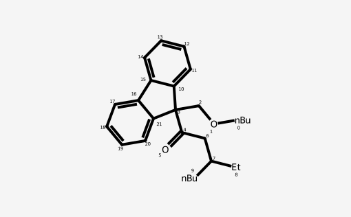 CCCCOCC1(C(=O)CC(CC)CCCC)c2ccccc2-c2ccccc21